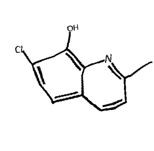 Cc1ccc2ccc(Cl)c(O)c2n1